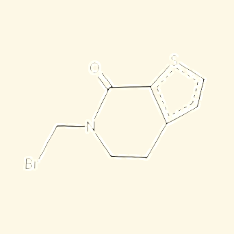 O=C1c2sccc2CCN1CBr